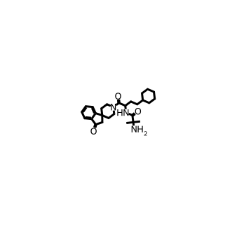 CC(C)(N)C(=O)NC(CCC1CCCCC1)C(=O)N1CCC2(CC1)CC(=O)c1ccccc12